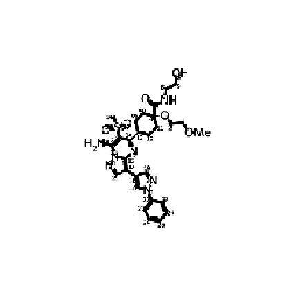 COCCO[C@]1(C(=O)NCCO)CC[C@@H](c2nc3c(-c4cnn(-c5ccccc5)c4)cnn3c(N)c2S(C)(=O)=O)CC1